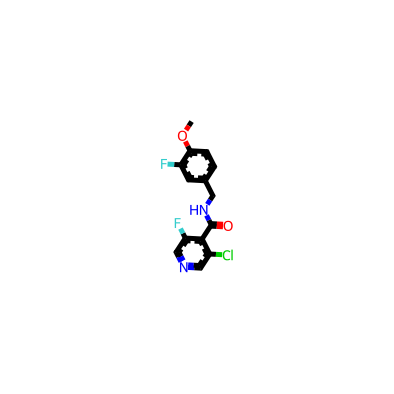 COc1ccc(CNC(=O)c2c(F)cncc2Cl)cc1F